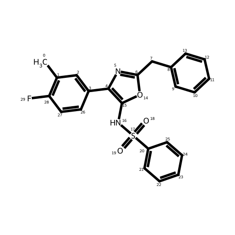 Cc1cc(-c2nc(Cc3ccccc3)oc2NS(=O)(=O)c2ccccc2)ccc1F